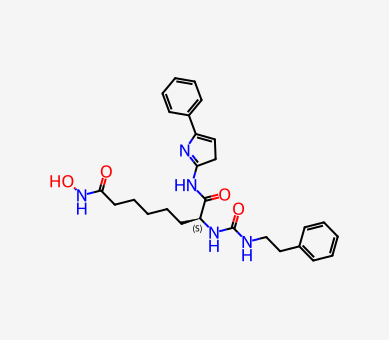 O=C(CCCCC[C@H](NC(=O)NCCc1ccccc1)C(=O)NC1=NC(c2ccccc2)=CC1)NO